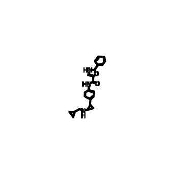 O=C(Nc1ccc(C2CC2NCC2CC2)cc1)C1=CNC(c2ccccc2)O1